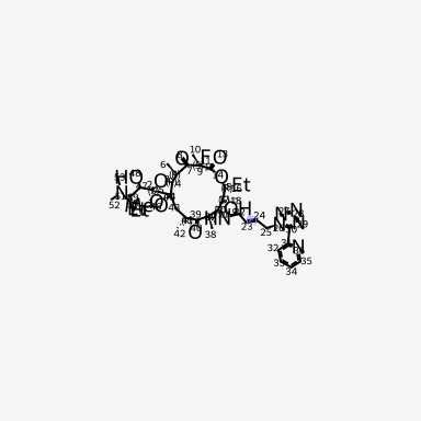 CCO[C@@H](O[C@@H]1[C@@H](C)C(=O)[C@](C)(F)C(=O)O[C@H](CC)[C@@](C)(O)[C@H](NC/C=C/Cn2nnnc2-c2ccccn2)[C@@H](C)C(=O)[C@H](C)C[C@@]1(C)OC)C(O)C(CC)N(C)C